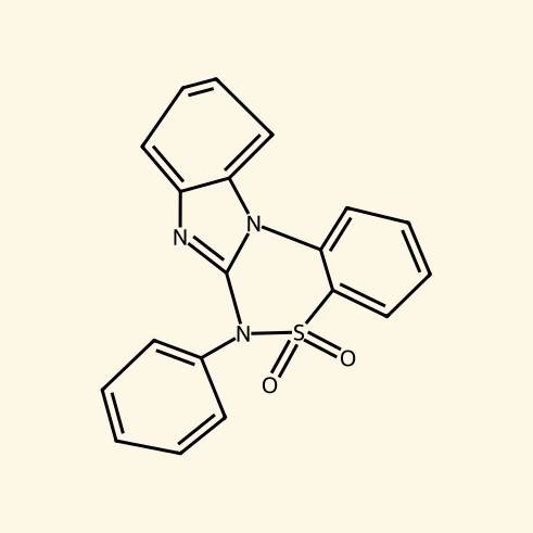 O=S1(=O)c2ccccc2-n2c(nc3ccccc32)N1c1ccccc1